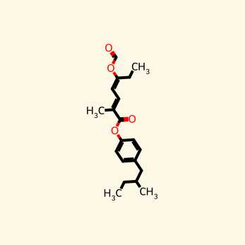 CC/C(=C\C=C(/C)C(=O)Oc1ccc(CC(C)CC)cc1)OC=O